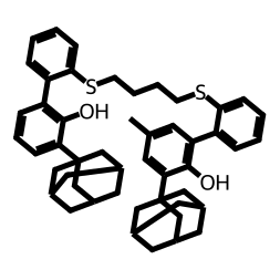 Cc1cc(-c2ccccc2SCCCCSc2ccccc2-c2cccc(C34CC5CC(CC(C5)C3)C4)c2O)c(O)c(C23CC4CC(CC(C4)C2)C3)c1